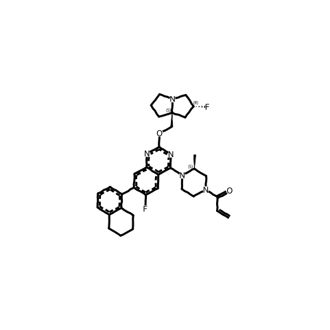 C=CC(=O)N1CCN(c2nc(OC[C@@]34CCCN3C[C@H](F)C4)nc3cc(-c4cccc5c4CCCC5)c(F)cc23)[C@@H](C)C1